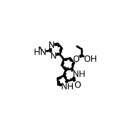 CCC(=O)O.CNc1nccc(-c2ccc3[nH]c(=O)c4[nH]ccc4c3c2)n1